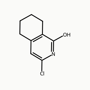 Oc1nc(Cl)cc2c1CCCC2